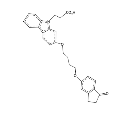 O=C(O)CCn1c2ccccc2c2ccc(OCCCCOc3ccc4c(c3)CCC4=O)cc21